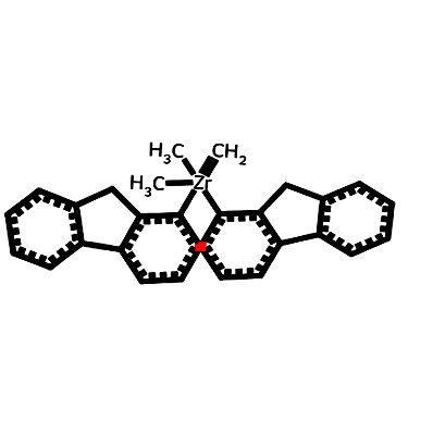 [CH2]=[Zr]([CH3])([CH3])([c]1cccc2c1Cc1ccccc1-2)[c]1cccc2c1Cc1ccccc1-2